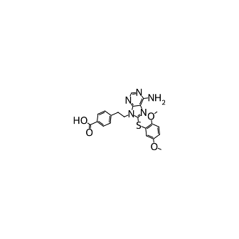 COc1ccc(OC)c(Sc2nc3c(N)ncnc3n2CCc2ccc(C(=O)O)cc2)c1